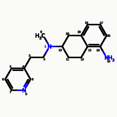 CN(CCc1cccnc1)C1CCc2c(N)cccc2C1